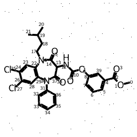 COC(=O)c1cccc(OC(=O)NC2C(=O)N(CCC(C)C)c3cc(Cl)c(Cl)cc3N(c3ccccc3)C2=O)c1